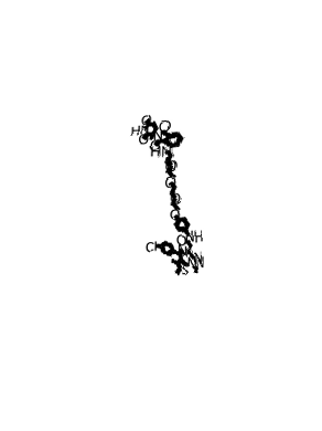 Cc1sc2c(c1C)C(c1ccc(Cl)cc1)=N[C@@H](CC(=O)Nc1ccc(OCCOCCOCCOCCNc3cccc4c3C(=O)N(C3(C)CCC(=O)NC3=O)C4=O)cc1)c1nnc(C)n1-2